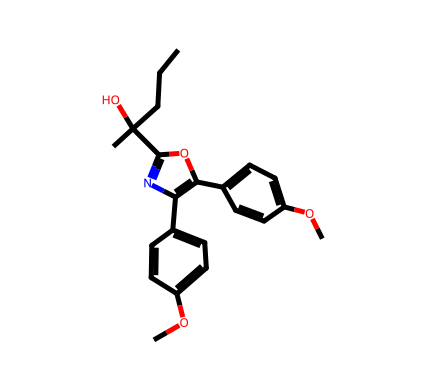 CCCC(C)(O)c1nc(-c2ccc(OC)cc2)c(-c2ccc(OC)cc2)o1